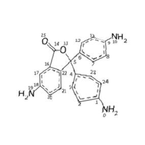 Nc1ccc(C2(c3ccc(N)cc3)OC(=O)c3cc(N)ccc32)cc1